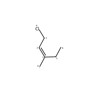 [CH2]C(=CCCl)CC